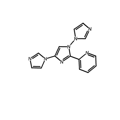 c1ccc(-c2nc(-n3ccnc3)cn2-n2ccnc2)nc1